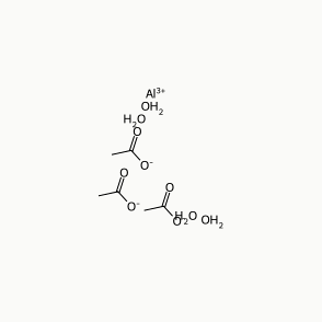 CC(=O)[O-].CC(=O)[O-].CC(=O)[O-].O.O.O.O.[Al+3]